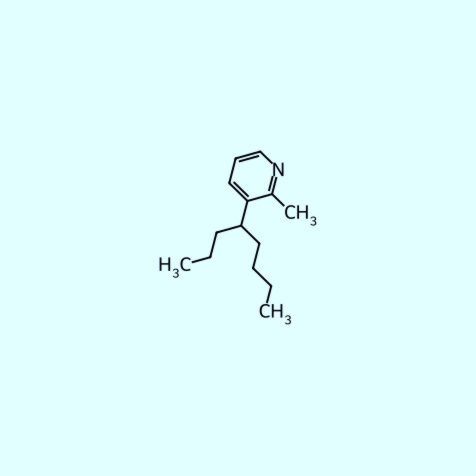 CCCCC(CCC)c1cccnc1C